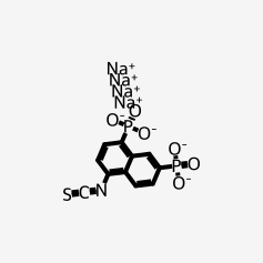 O=P([O-])([O-])c1ccc2c(N=C=S)ccc(P(=O)([O-])[O-])c2c1.[Na+].[Na+].[Na+].[Na+]